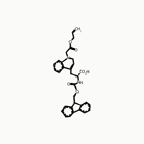 C=CCOC(=O)CN1CC=C(C[C@H](NC(=O)OCC2c3ccccc3-c3ccccc32)C(=O)O)c2ccccc21